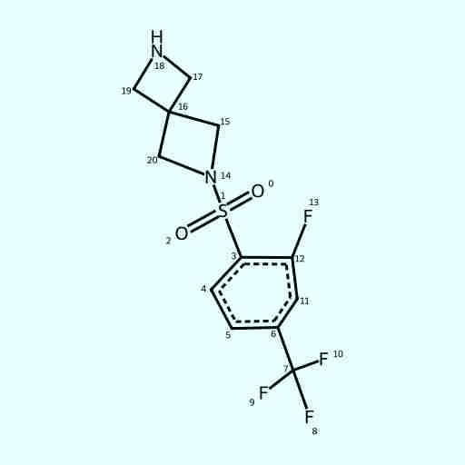 O=S(=O)(c1ccc(C(F)(F)F)cc1F)N1CC2(CNC2)C1